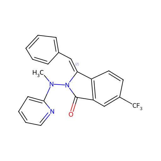 CN(c1ccccn1)N1C(=O)c2cc(C(F)(F)F)ccc2/C1=C/c1ccccc1